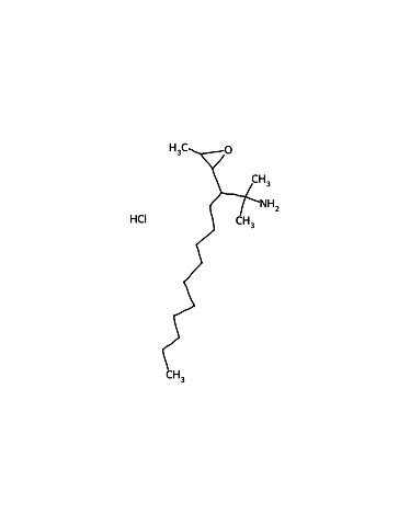 CCCCCCCCCCC(C1OC1C)C(C)(C)N.Cl